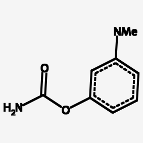 CNc1cccc(OC(N)=O)c1